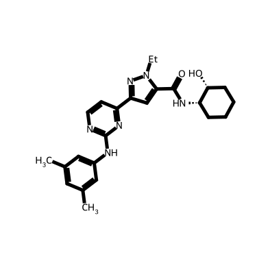 CCn1nc(-c2ccnc(Nc3cc(C)cc(C)c3)n2)cc1C(=O)N[C@H]1CCCC[C@H]1O